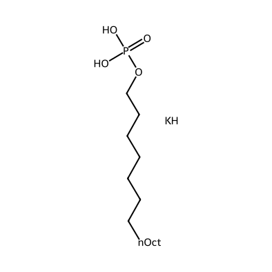 CCCCCCCCCCCCCCCOP(=O)(O)O.[KH]